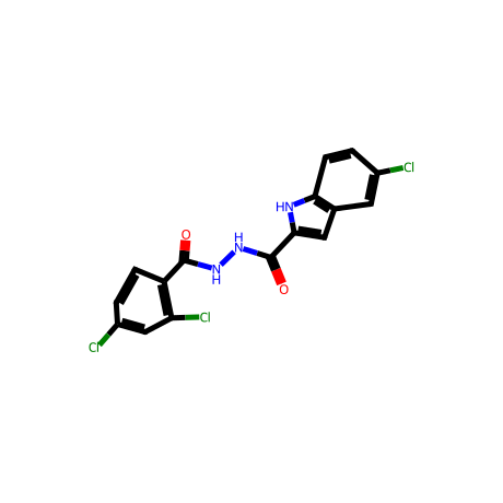 O=C(NNC(=O)c1ccc(Cl)cc1Cl)c1cc2cc(Cl)ccc2[nH]1